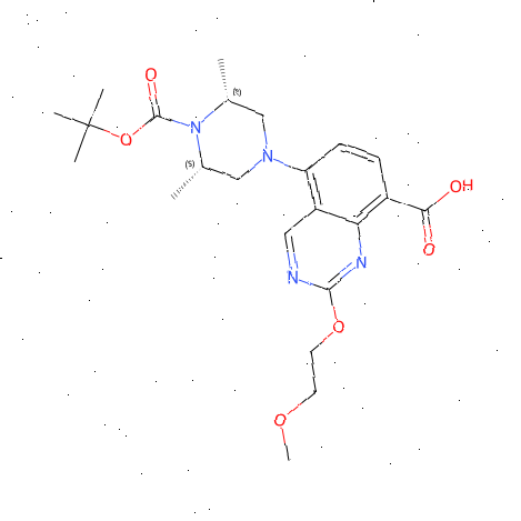 COCCOc1ncc2c(N3C[C@@H](C)N(C(=O)OC(C)(C)C)[C@@H](C)C3)ccc(C(=O)O)c2n1